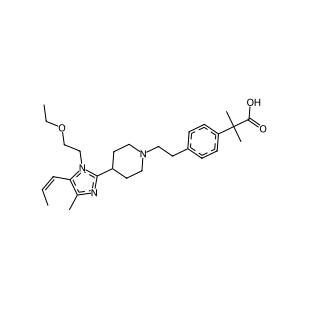 C/C=C\c1c(C)nc(C2CCN(CCc3ccc(C(C)(C)C(=O)O)cc3)CC2)n1CCOCC